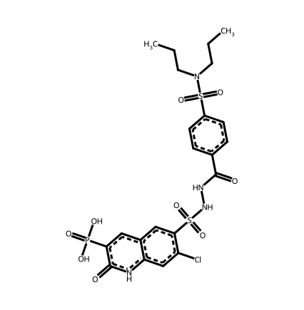 CCCN(CCC)S(=O)(=O)c1ccc(C(=O)NNS(=O)(=O)c2cc3cc(P(=O)(O)O)c(=O)[nH]c3cc2Cl)cc1